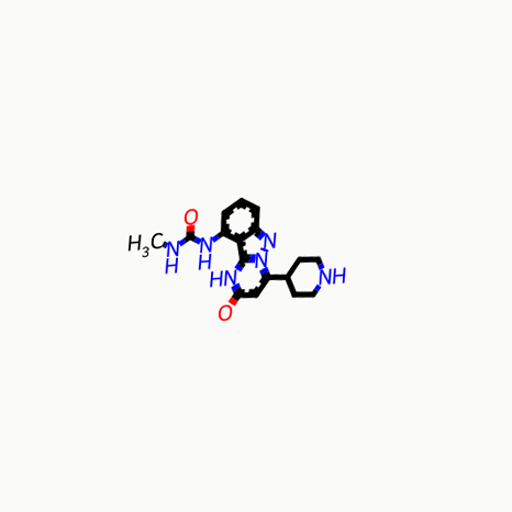 CNC(=O)Nc1cccc2nn3c(C4CCNCC4)cc(=O)[nH]c3c12